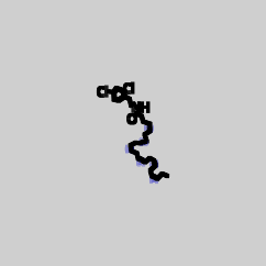 CC/C=C\C/C=C\C/C=C\C/C=C\C/C=C\C/C=C\CCC(=O)NCCc1ccc(Cl)cc1Cl